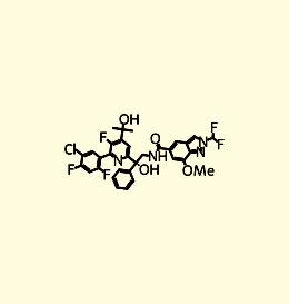 COc1cc(C(=O)NC[C@@](O)(c2ccccc2)c2cc(C(C)(C)O)c(F)c(-c3cc(Cl)c(F)cc3F)n2)cc2cn(C(F)F)nc12